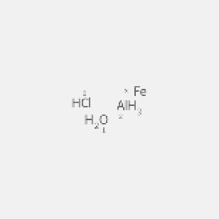 Cl.O.[AlH3].[Fe]